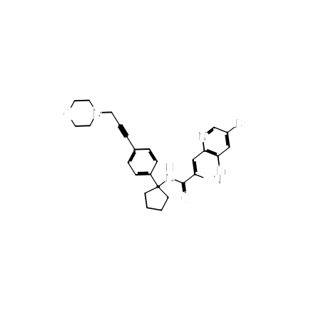 N#CC(=Cc1ncc(Br)cc1Br)C(=O)NC1(c2ccc(C#CCN3CCOCC3)cc2)CCCC1